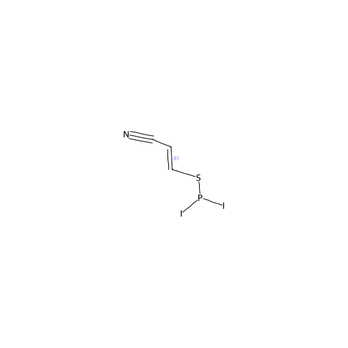 N#C/C=C/SP(I)I